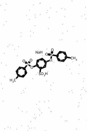 Cc1ccc(S(=O)(=O)Oc2ccc(OS(=O)(=O)c3ccc(C)cc3)c(S(=O)(=O)O)c2)cc1.[NaH]